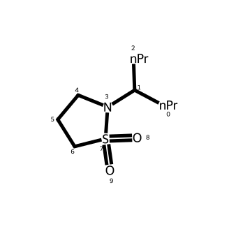 CCCC(CCC)N1CCCS1(=O)=O